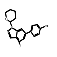 Oc1ccc(-c2cc(Cl)c3cnn(C4CCCCO4)c3c2)cc1